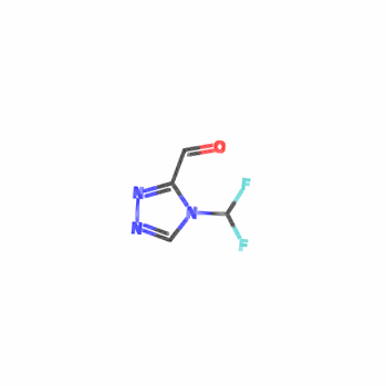 O=Cc1nncn1C(F)F